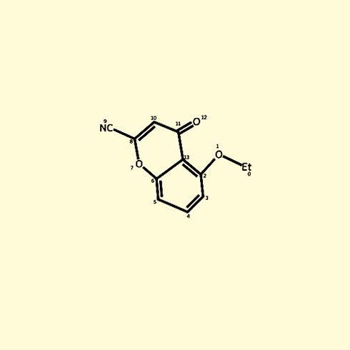 CCOc1cccc2oc(C#N)cc(=O)c12